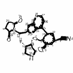 N#Cc1cc(Cl)c(O[C@@H]2CNC[C@@H]2F)c(-c2ccnc3cc(CN4C(=O)CCC4=O)sc23)c1